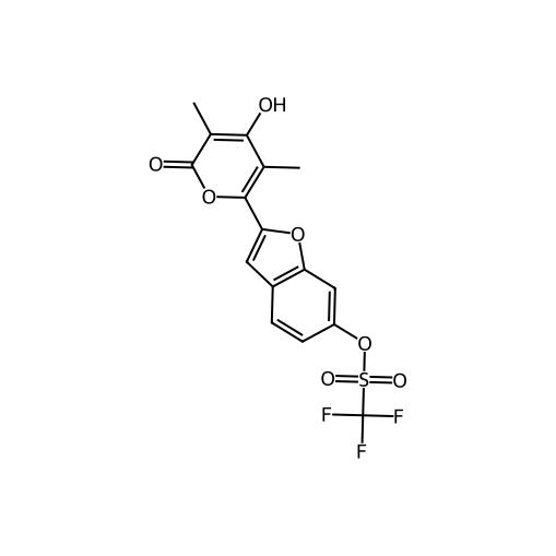 Cc1c(-c2cc3ccc(OS(=O)(=O)C(F)(F)F)cc3o2)oc(=O)c(C)c1O